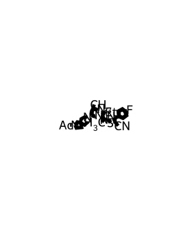 CCc1nc2c(C)cc(N3CCC4(CCN(C(C)=O)C4)CC3)cn2c1N(C)c1nc(-c2ccc(F)cc2)c(C#N)s1